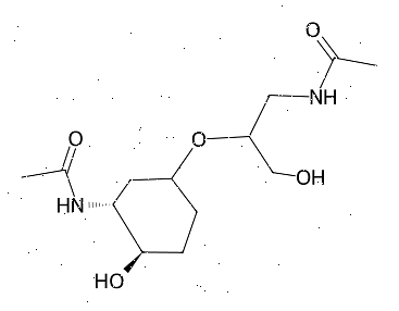 CC(=O)NCC(CO)OC1CC[C@@H](O)[C@H](NC(C)=O)C1